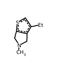 CCc1csc2c1CN(C)C2